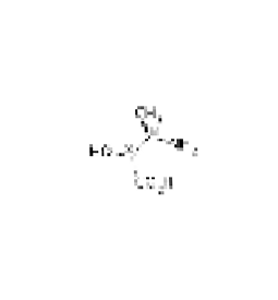 C[C@@H](N)[C@@H](O)C(=O)O